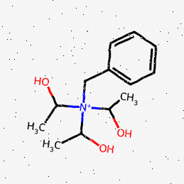 CC(O)[N+](Cc1ccccc1)(C(C)O)C(C)O